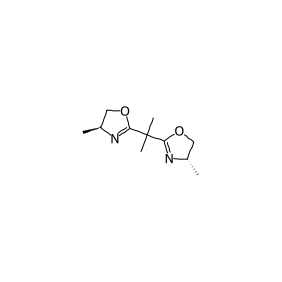 C[C@H]1COC(C(C)(C)C2=N[C@@H](C)CO2)=N1